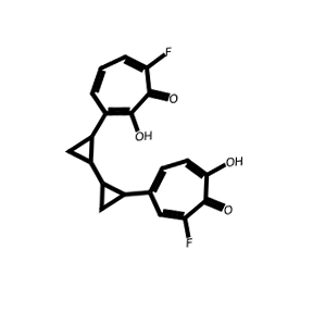 O=c1c(O)ccc(C2CC2C2CC2c2cccc(F)c(=O)c2O)cc1F